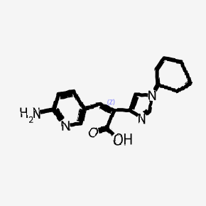 Nc1ccc(/C=C(\C(=O)O)c2cn(C3CCCCC3)cn2)cn1